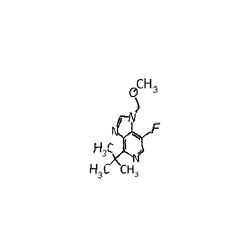 COCn1cnc2c(C(C)(C)C)ncc(F)c21